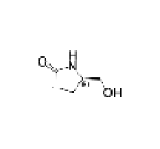 O=C1[CH]C[C@H](CO)N1